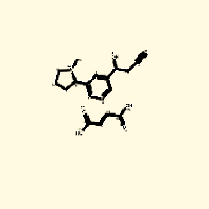 C#CCC(O)c1cncc(C2CCCN2C)c1.O=C(O)C=CC(=O)O